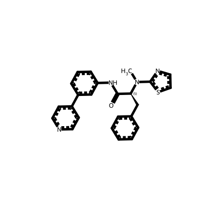 CN(c1nccs1)[C@@H](Cc1ccccc1)C(=O)Nc1cccc(-c2ccncc2)c1